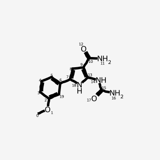 COc1cccc(-c2cc(C(N)=O)c(NC(N)=O)[nH]2)c1